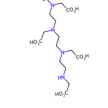 CCN(CCN(CCN(CCNCC(=O)O)CC(=O)O)CC(=O)O)CC(=O)O